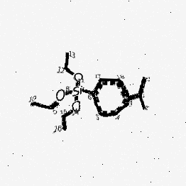 C=C(C)c1ccc([Si](OCC)(OCC)OCC)cc1